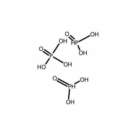 O=P(O)(O)O.O=[PH](O)O.O=[PH](O)O